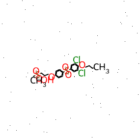 CCCCOc1c(Cl)cc(S(=O)(=O)c2ccc(OC[C@@H](O)CS(=O)(=O)CC)cc2)cc1Cl